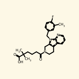 Cc1cc(Cn2c3c(c4cccnc42)CCN(C(=O)CCCC(C)(C)C(=O)O)C3)ccc1F